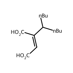 CCCCC(CCCC)C(=CC(=O)O)C(=O)O